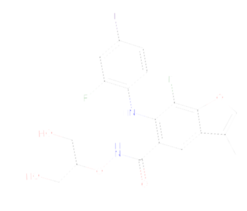 Cc1coc2c(F)c(Nc3ccc(I)cc3F)c(C(=O)NOC(CO)CO)cc12